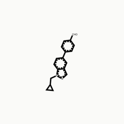 O=Cc1ccc(-c2ccc3c(cnn3CC3CC3)c2)cc1